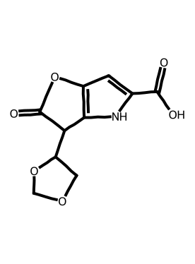 O=C(O)c1cc2c([nH]1)C(C1COCO1)C(=O)O2